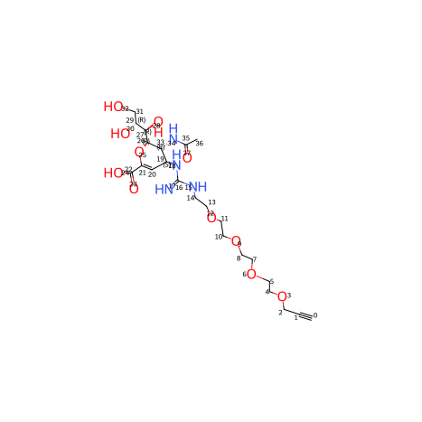 C#CCOCCOCCOCCOCCNC(=N)N[C@H]1C=C(C(=O)O)O[C@@H]([C@H](O)[C@H](O)CO)[C@@H]1NC(C)=O